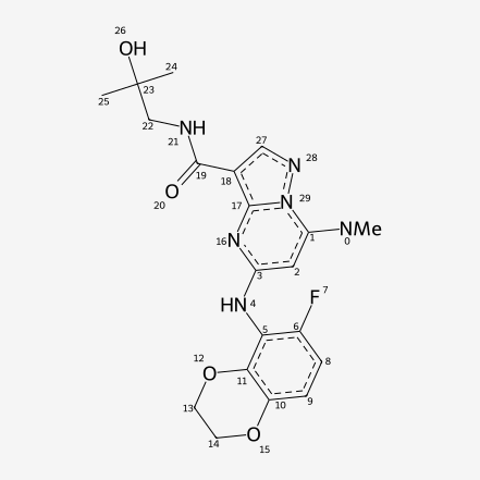 CNc1cc(Nc2c(F)ccc3c2OCCO3)nc2c(C(=O)NCC(C)(C)O)cnn12